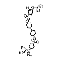 CC/C=C(\CC)[SiH2]c1ccc(C(=O)OOC2=CCC(C3CCC(OOC(=O)c4ccc([SiH2]/C(=C/CC)CC)cc4)CC3)CC2)cc1